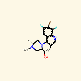 C[C@@H]1CN(c2c([N+](=O)[O-])cnc3c(F)c(Br)c(F)cc23)[C@@H](CO)CN1C(=O)O